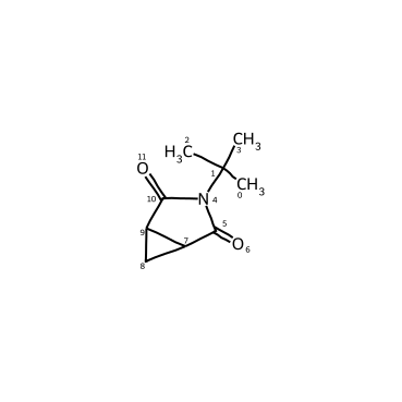 CC(C)(C)N1C(=O)C2CC2C1=O